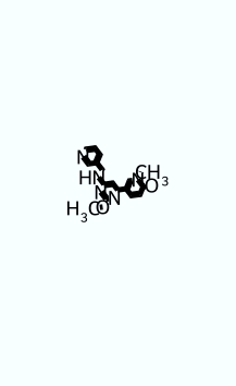 COc1nc(NCc2cccnc2)cc(-c2ccc(=O)n(C)c2)n1